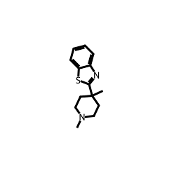 CN1CCC(C)(c2nc3ccccc3s2)CC1